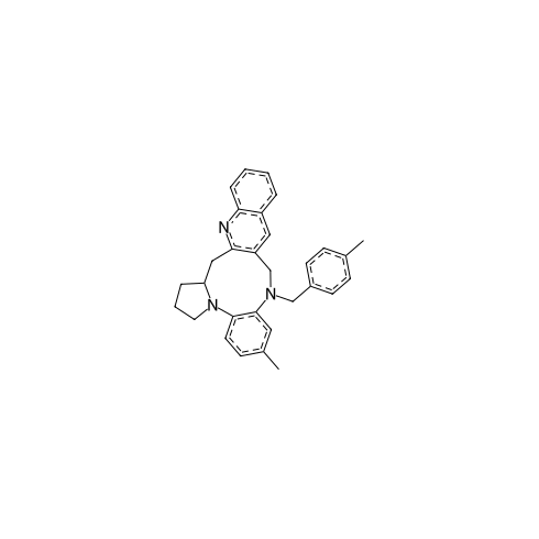 Cc1ccc(CN2Cc3cc4ccccc4nc3CC3CCCN3c3ccc(C)cc32)cc1